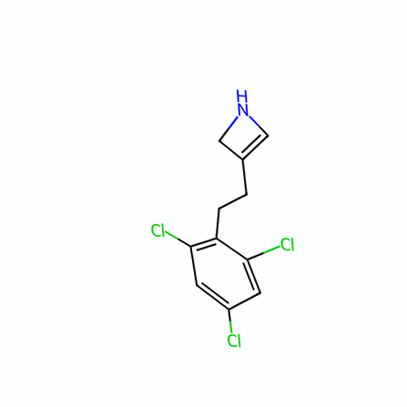 Clc1cc(Cl)c(CCC2=CNC2)c(Cl)c1